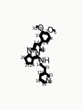 COc1ccc(-c2cc3nc4c(c(NCCc5cccnc5)n3n2)CCC4)cc1OC